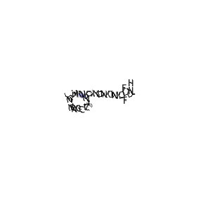 C=C1CCC(c2c(F)cc(N3CCC(N4CCN(c5ccc6c(c5)N5C[C@H](C)CCCCc7c(cnn7C)-c7cc(cc(CC)n7)C(=C)/N=C/5N6)CC4)CC3)cc2F)C(=C)N1